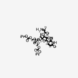 CC(C)OC(=O)OCOP(=O)(OCOC(=O)OC(C)C)OC[C@@]1(CF)O[C@@H](n2ccc(=O)[nH]c2=O)[C@](C)(O)[C@@H]1OC(=O)[C@H](C)N